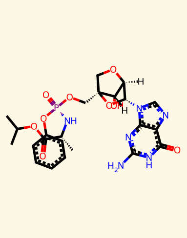 CC(C)OC(=O)[C@@H](C)N[P@](=O)(OC[C@@]12CO[C@@H]([C@H](n3cnc4c(=O)[nH]c(N)nc43)O1)[C@@H]2O)Oc1ccccc1